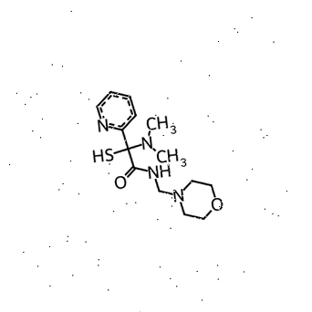 CN(C)C(S)(C(=O)NCN1CCOCC1)c1ccccn1